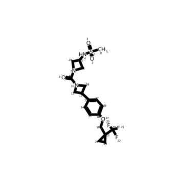 CS(=O)(=O)NC1CN(C(=O)N2CC(c3ccc(OCC4(C(F)(F)F)CC4)cc3)C2)C1